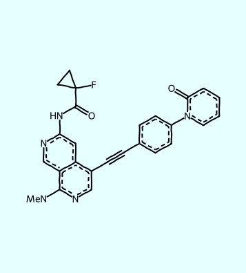 CNc1ncc(C#Cc2ccc(-n3ccccc3=O)cc2)c2cc(NC(=O)C3(F)CC3)ncc12